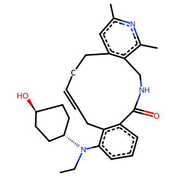 CCN(c1cccc2c1C/C=C/CCc1cc(C)nc(C)c1CNC2=O)[C@H]1CC[C@H](O)CC1